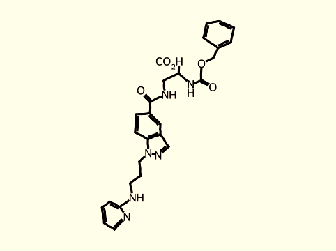 O=C(NC(CNC(=O)c1ccc2c(cnn2CCCNc2ccccn2)c1)C(=O)O)OCc1ccccc1